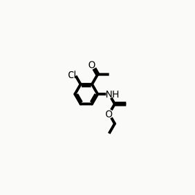 C=C(Nc1cccc(Cl)c1C(C)=O)OCC